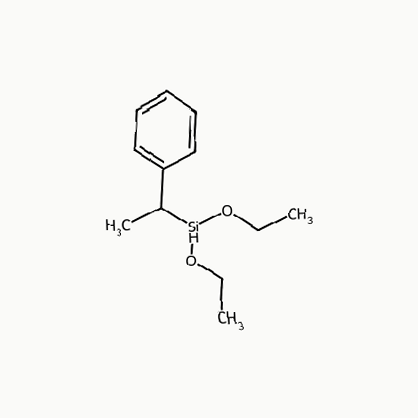 CCO[SiH](OCC)C(C)c1ccccc1